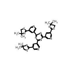 CC1(C)CSC(c2cncc(-c3nc(-c4cncc(C5=NC(C)(C)CS5)c4)nc(-c4cncc(C5=NC(C)(C)CS5)c4)n3)c2)=N1